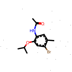 CC(=O)Nc1cc(C)c(Br)cc1OC(C)C